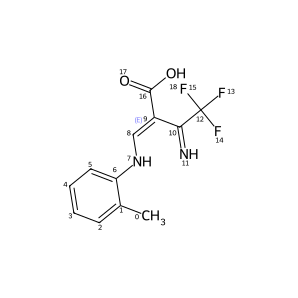 Cc1ccccc1N/C=C(\C(=N)C(F)(F)F)C(=O)O